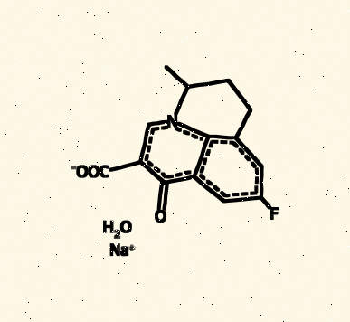 CC1CCc2cc(F)cc3c(=O)c(C(=O)[O-])cn1c23.O.[Na+]